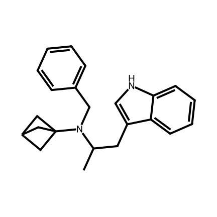 CC(Cc1c[nH]c2ccccc12)N(Cc1ccccc1)C12CC(C1)C2